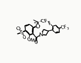 COc1c(S(C)(=O)=O)ccc(O[C@H](C)C(F)(F)F)c1C(=O)N1CC(c2ccc(C(F)(F)F)cc2F)C1